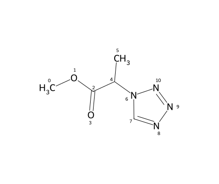 COC(=O)C(C)n1cnnn1